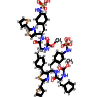 COC(=O)N[C@H](Cc1ccccc1)C(=O)N[C@@H](Cc1ccc(NS(=O)(=O)O)cc1)c1nc(-c2cccs2)sc1-c1ccc(C[C@@H](NC(=O)OC)C(=O)N[C@H](Cc2ccc(NS(=O)(=O)O)cc2)c2csc(-c3cccs3)n2)cc1